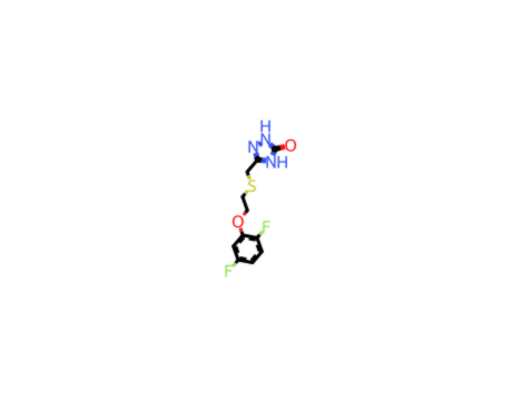 O=c1[nH]nc(CSCCOc2cc(F)ccc2F)[nH]1